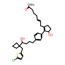 COC(=O)CCCC=CCC1=C(c2ccc(CCCC(O)C3(Cc4ccc(Cl)s4)CCC3)cc2)[C@H](O)CC1